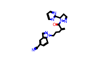 C=C(CCCn1ncc2cc(C#N)ccc21)C(=O)N1N=CCC1c1ncccn1